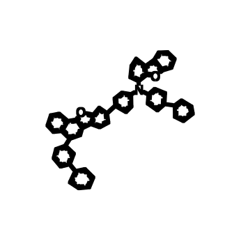 c1ccc(-c2ccc(N(c3ccc(-c4ccc5c(c4)oc4c6ccccc6c(-c6cccc(-c7ccccc7)c6)cc54)cc3)c3cccc4c3oc3ccccc34)cc2)cc1